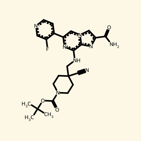 CC(C)(C)OC(=O)N1CCC(C#N)(CNc2nc(-c3ccncc3F)cn3cc(C(N)=O)nc23)CC1